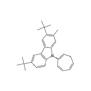 Cc1cc2c(cc1C(C)(C)C)c1cc(C(C)(C)C)ccc1n2C1=CCC=CC=C1